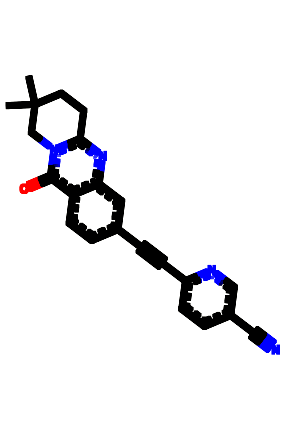 CC1(C)CCc2nc3cc(C#Cc4ccc(C#N)cn4)ccc3c(=O)n2C1